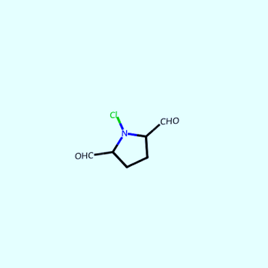 O=CC1CCC(C=O)N1Cl